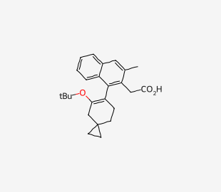 Cc1cc2ccccc2c(C2=C(OC(C)(C)C)CC3(CC2)CC3)c1CC(=O)O